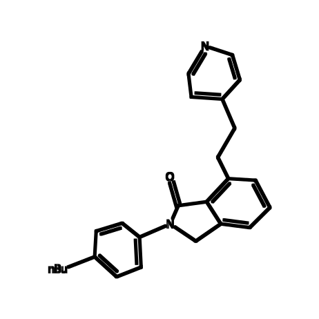 CCCCc1ccc(N2Cc3cccc(CCc4ccncc4)c3C2=O)cc1